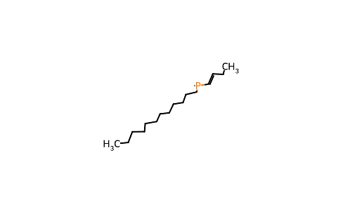 CCC=C[P]CCCCCCCCCCCC